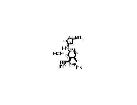 CC(C)Nc1nc(C#N)cc2cnc(N[C@H]3CC[C@H](N)C3)cc12.Cl